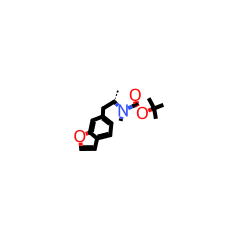 C[C@@H](Cc1ccc2ccoc2c1)N(C)C(=O)OC(C)(C)C